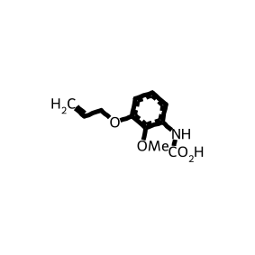 C=CCOc1cccc(NC(=O)O)c1OC